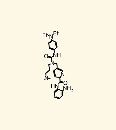 CCN(CC)c1ccc(NC(=O)N(CCCN(C)C)Cc2ccc(C(=O)Nc3ccccc3N)nc2)cc1